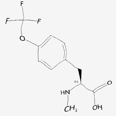 CN[C@@H](Cc1ccc(OC(F)(F)F)cc1)C(=O)O